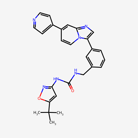 CC(C)(C)c1cc(NC(=O)NCc2cccc(-c3cnc4cc(-c5ccncc5)ccn34)c2)no1